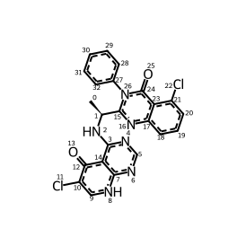 C[C@H](Nc1ncnc2[nH]cc(Cl)c(=O)c12)c1nc2cccc(Cl)c2c(=O)n1-c1ccccc1